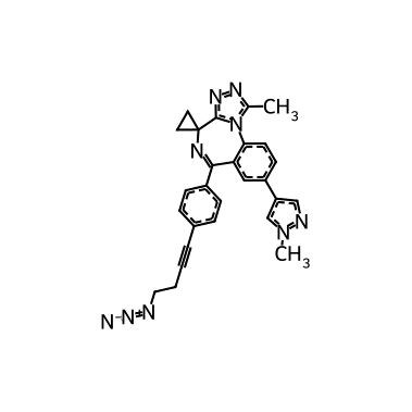 Cc1nnc2n1-c1ccc(-c3cnn(C)c3)cc1C(c1ccc(C#CCCN=[N+]=[N-])cc1)=NC21CC1